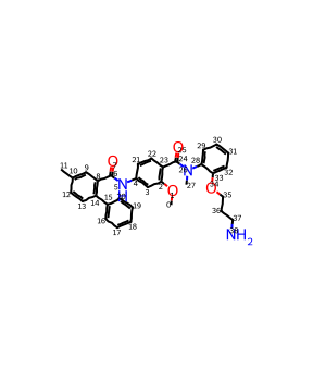 COc1cc(NC(=O)c2cc(C)ccc2-c2ccccc2)ccc1C(=O)N(C)c1ccccc1OCCCN